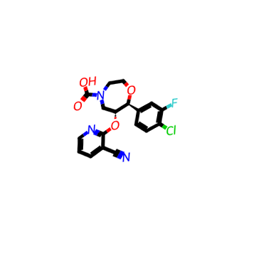 N#Cc1cccnc1O[C@@H]1CN(C(=O)O)CCO[C@H]1c1ccc(Cl)c(F)c1